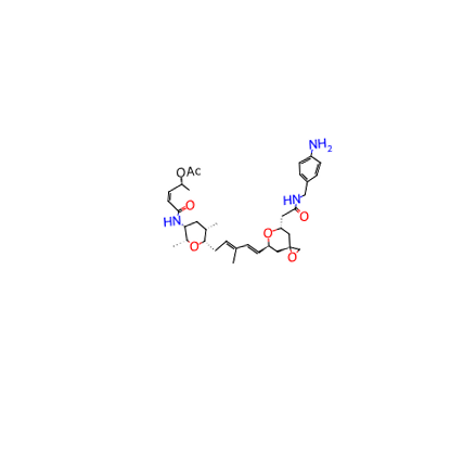 CC(=O)O[C@@H](C)/C=C\C(=O)N[C@@H]1C[C@H](C)[C@H](C/C=C(C)/C=C/[C@@H]2C[C@]3(CO3)C[C@@H](CC(=O)NCc3ccc(N)cc3)O2)O[C@@H]1C